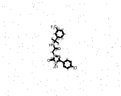 CCn1c(-c2ccc(Cl)cc2)nn(CC(=O)NC(C)(C)c2cccc(C(F)(F)F)c2)c1=O